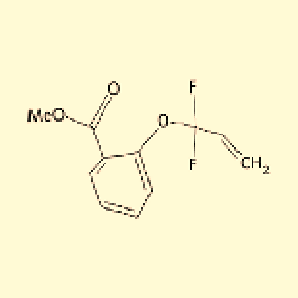 C=CC(F)(F)Oc1ccccc1C(=O)OC